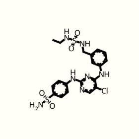 CCNS(=O)(=O)NCc1cccc(Nc2nc(Nc3ccc(S(N)(=O)=O)cc3)ncc2Cl)c1